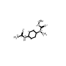 CN(C(=O)OC(C)(C)C)C1CCC(NC(N)=S)CC1